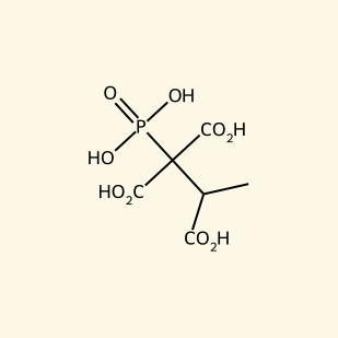 CC(C(=O)O)C(C(=O)O)(C(=O)O)P(=O)(O)O